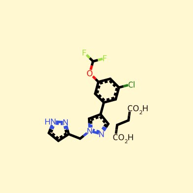 FC(F)Oc1cc(Cl)cc(-c2cnn(Cc3cc[nH]n3)c2)c1.O=C(O)CCC(=O)O